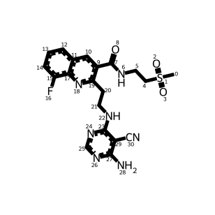 CS(=O)(=O)CCNC(=O)c1cc2cccc(F)c2nc1CCNc1ncnc(N)c1C#N